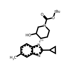 Cc1ccc2c(c1)nc(C1CC1)n2[C@H]1CCN(C(=O)OC(C)(C)C)CC1O